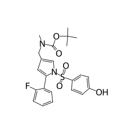 CN(Cc1cc(-c2ccccc2F)n(S(=O)(=O)c2ccc(O)cc2)c1)C(=O)OC(C)(C)C